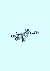 C#CCOC1CC2CC(CC)N3CC(C(=O)N=O)C(=O)C=C3C2CC1O